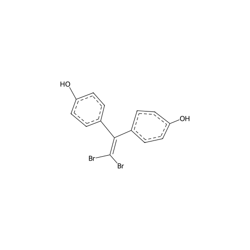 Oc1ccc(C(=C(Br)Br)c2ccc(O)cc2)cc1